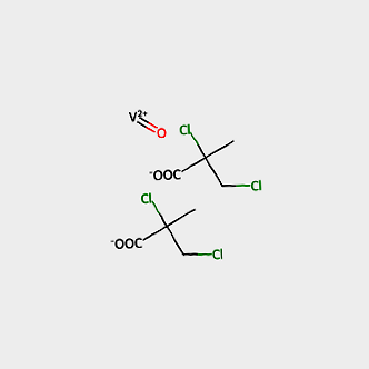 CC(Cl)(CCl)C(=O)[O-].CC(Cl)(CCl)C(=O)[O-].[O]=[V+2]